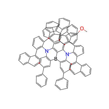 COc1cccc(C2(c3cc4c5c(c3)N(c3c(-c6cccc7ccccc67)cccc3-c3cccc6ccccc36)c3ccc(-c6ccccc6)cc3B5c3cc(-c5ccccc5)ccc3N4c3c(-c4cccc5ccccc45)cccc3-c3cccc4ccccc34)c3ccccc3-c3ccccc32)c1